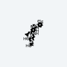 CC(C)(O)CN(CC=CC(=O)Nc1cc2c(Nc3ccc(F)c(Cl)c3)ncnc2cc1OCC1CC1)CC(=O)O